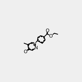 CCOC(=O)c1ccc(-n2cc(C)c(=O)cn2)cc1